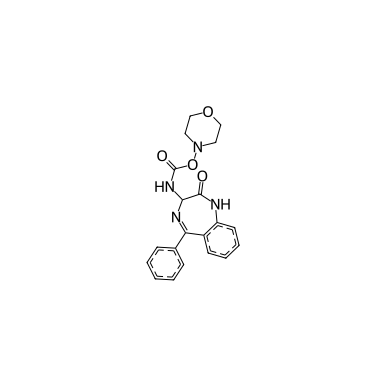 O=C(NC1N=C(c2ccccc2)c2ccccc2NC1=O)ON1CCOCC1